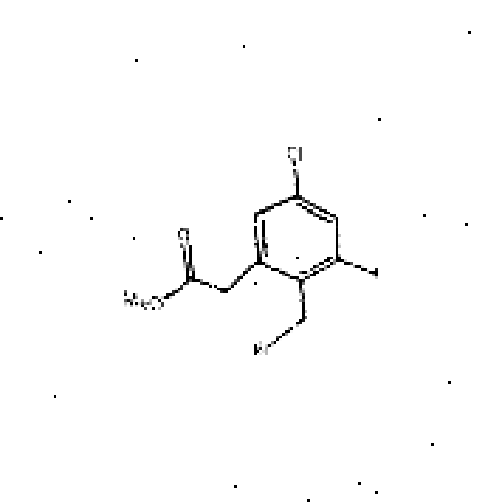 COC(=O)Cc1cc(Cl)cc(I)c1CBr